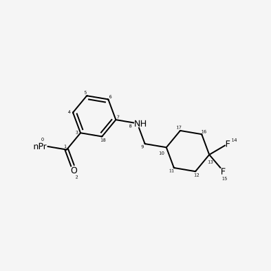 CCCC(=O)c1cccc(NCC2CCC(F)(F)CC2)c1